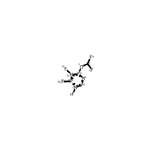 FC(F)Op1npn(F)p(F)n1F